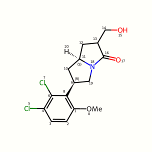 COc1ccc(Cl)c(Cl)c1[C@H]1C[C@H]2CC(CO)C(=O)N2C1